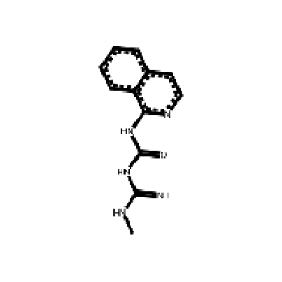 CNC(=N)NC(=O)Nc1nccc2ccccc12